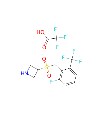 O=C(O)C(F)(F)F.O=S(=O)(Cc1c(F)cccc1C(F)(F)F)C1CNC1